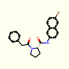 O=C(Nc1ccc2cc(Br)ccc2c1)[C@@H]1CCCN1C(=O)Cc1ccccc1